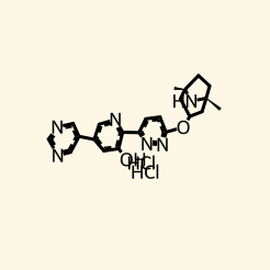 C[C@]12CC[C@](C)(CC(Oc3ccc(-c4ncc(-c5cncnc5)cc4O)nn3)C1)N2.Cl.Cl